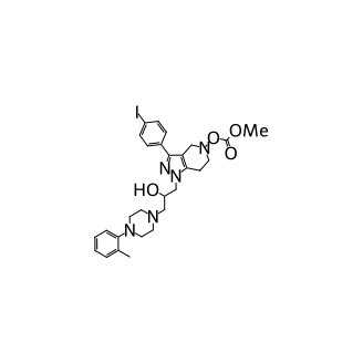 COC(=O)ON1CCc2c(c(-c3ccc(I)cc3)nn2CC(O)CN2CCN(c3ccccc3C)CC2)C1